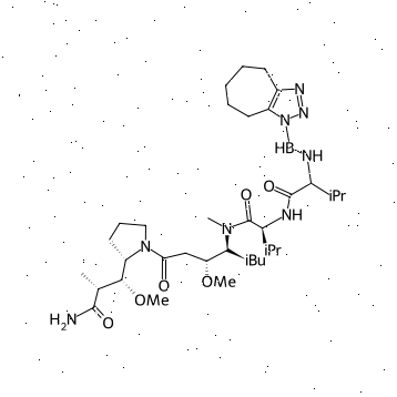 CC[C@H](C)[C@@H]([C@@H](CC(=O)N1CCC[C@H]1[C@H](OC)[C@@H](C)C(N)=O)OC)N(C)C(=O)[C@@H](NC(=O)C(NBn1nnc2c1CCCCC2)C(C)C)C(C)C